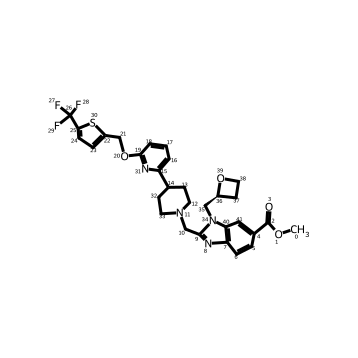 COC(=O)c1ccc2nc(CN3CCC(c4cccc(OCc5ccc(C(F)(F)F)s5)n4)CC3)n(C[C@@H]3CCO3)c2c1